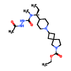 CCOC(=O)N1CCC2(CC(N3CCC([C@H](CC)N(C)C(=O)NNC(C)=O)CC3)C2)C1